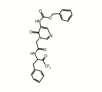 O=C(Cn1cncc(NC(=O)OCc2ccccc2)c1=O)NC(Cc1ccccc1)C(=O)C(F)(F)F